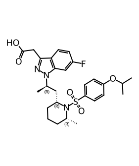 CC(C)Oc1ccc(S(=O)(=O)N2[C@@H](C[C@@H](C)n3nc(CC(=O)O)c4ccc(F)cc43)CCC[C@H]2C)cc1